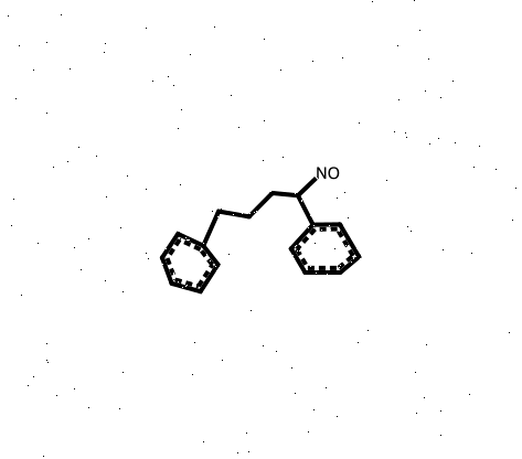 O=NC(CCCc1ccccc1)c1ccccc1